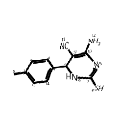 Cc1ccc(C2NC(S)=NC(N)=C2C#N)cc1